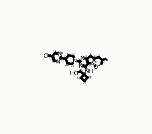 CC(C)CC1Cc2nc(N3CCC(c4ncc(Cl)cn4)CC3)nc(NC3(CO)CCC3)c2[S+]1[O-]